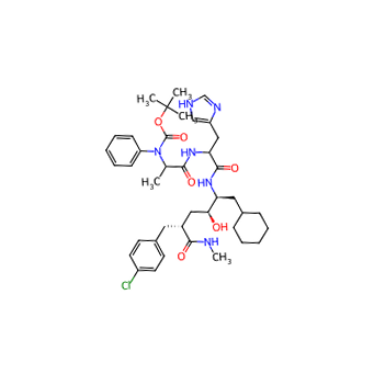 CNC(=O)[C@H](Cc1ccc(Cl)cc1)C[C@H](O)[C@H](CC1CCCCC1)NC(=O)C(Cc1c[nH]cn1)NC(=O)C(C)N(C(=O)OC(C)(C)C)c1ccccc1